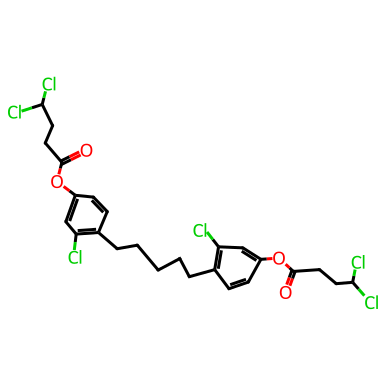 O=C(CCC(Cl)Cl)Oc1ccc(CCCCCc2ccc(OC(=O)CCC(Cl)Cl)cc2Cl)c(Cl)c1